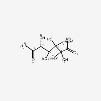 CCCCCCC(O)(C(N)=O)C(O)(CCCCCC)C(O)C(O)C(N)=O